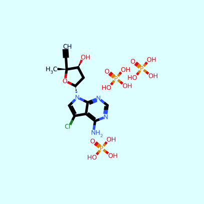 C#C[C@@]1(C)O[C@@H](n2cc(Cl)c3c(N)ncnc32)C[C@@H]1O.O=P(O)(O)O.O=P(O)(O)O.O=P(O)(O)O